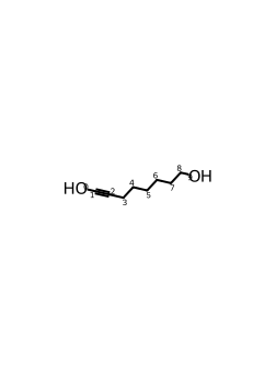 OC#CCCCCCCO